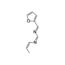 C\C=C/N=C\N=C\c1ccco1